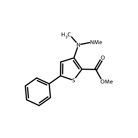 CNN(C)c1cc(-c2ccccc2)sc1C(=O)OC